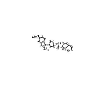 COc1ccc2c(c1)nc(C(F)(F)F)n2-c1ccc(NC(=O)c2ccc3c(c2)OCO3)cc1